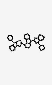 c1ccc(-c2nc(-n3c4ccccc4c4c(-c5ccc6c(c5)c5ncccc5n6-c5ccccc5)cccc43)nc3ccccc23)cc1